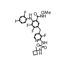 CONC(=O)c1cc(Cc2ccnc(NS(=O)(=O)NC3(C)CCC3)c2F)c(F)c(F)c1Nc1ccc(I)cc1F